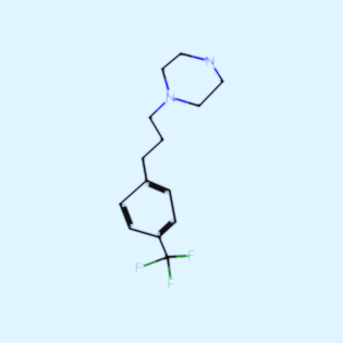 FC(F)(F)c1ccc(CCCN2CC[N]CC2)cc1